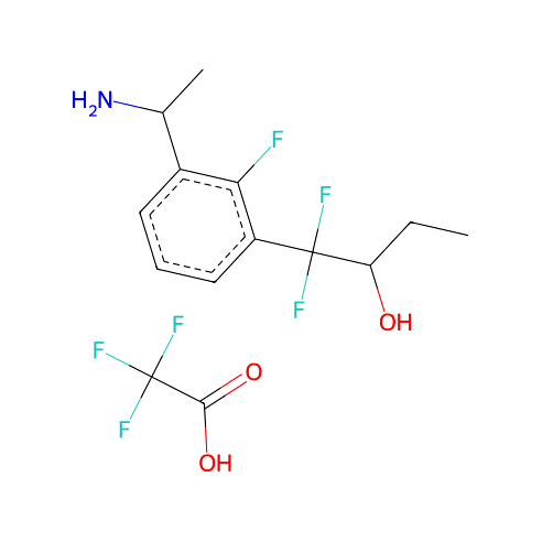 CCC(O)C(F)(F)c1cccc(C(C)N)c1F.O=C(O)C(F)(F)F